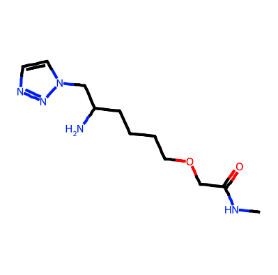 CNC(=O)COCCCCC(N)Cn1ccnn1